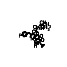 CC(C)(C#N)CNC(=O)C1=Cn2c(=O)c(C(=O)NC3CC3)c(O)c3ncc(Cc4ccc(F)cc4)c(c32)O1